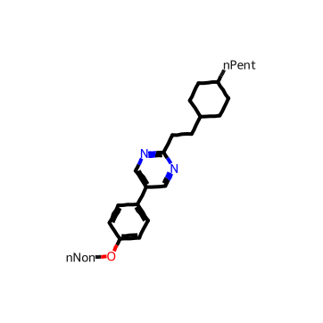 CCCCCCCCCOc1ccc(-c2cnc(CCC3CCC(CCCCC)CC3)nc2)cc1